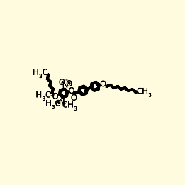 CCCCCCCCCCOc1ccc(-c2ccc(C(=O)Oc3cc(N(C)C)c(O[C@@H](C)CCCCCC)cc3[N+](=O)[O-])cc2)cc1